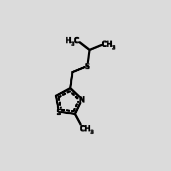 Cc1nc(CSC(C)C)cs1